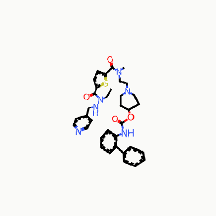 CCN(NCc1ccncc1)C(=O)c1ccc(C(=O)N(C)CCN2CCC(OC(=O)Nc3ccccc3-c3ccccc3)CC2)s1